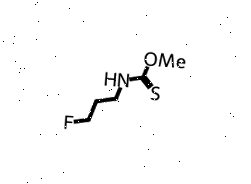 COC(=S)NCCCF